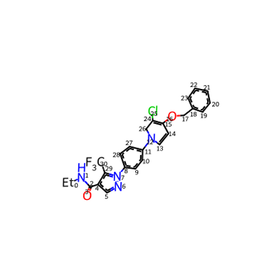 CCNC(=O)c1cnn(-c2ccc(N3C=CC(OCc4ccccc4)=C(Cl)C3)cc2)c1C(F)(F)F